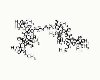 CCOC(=O)C(C)(COC(=O)OCC(C)(COC(C)(C)C)C(=O)OCCCCCCCOC(=O)C(C)(COC(=O)OCC(C)(COC(=O)C(C)(C)C)C(=O)OCC)COC(C)(C)C)COC(=O)C(C)(C)C